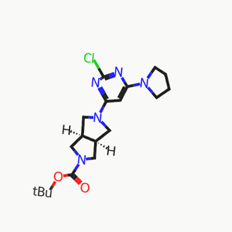 CC(C)(C)OC(=O)N1C[C@@H]2CN(c3cc(N4CCCC4)nc(Cl)n3)C[C@@H]2C1